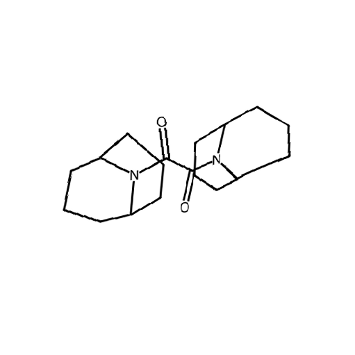 O=C(C(=O)N1C2CCCC1CCC2)N1C2CCCC1CCC2